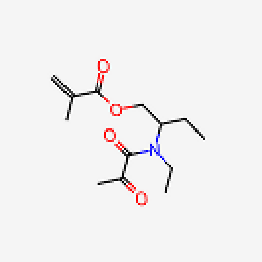 C=C(C)C(=O)OCC(CC)N(CC)C(=O)C(C)=O